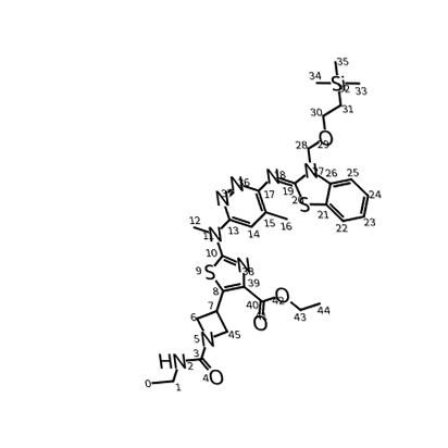 CCNC(=O)N1CC(c2sc(N(C)c3cc(C)c(/N=c4\sc5ccccc5n4COCC[Si](C)(C)C)nn3)nc2C(=O)OCC)C1